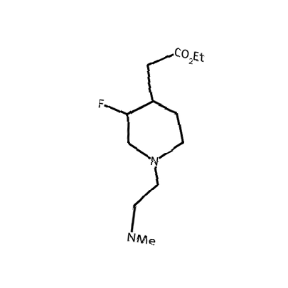 CCOC(=O)CC1CCN(CCNC)CC1F